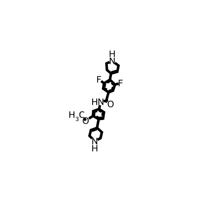 COc1cc(NC(=O)c2cc(F)c(C3=CCNCC3)c(F)c2)ccc1C1=CCNCC1